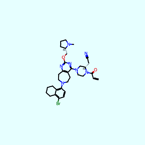 C=CC(=O)N1CCN(c2nc(OC[C@@H]3CCCN3C)nc3c2CCN(c2ccc(Br)c4c2CCCC4)CC3)C[C@@H]1CC#N